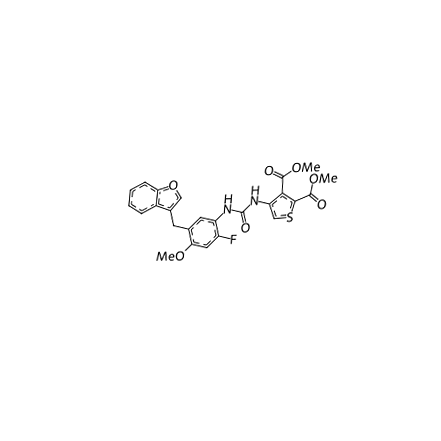 COC(=O)c1scc(NC(=O)Nc2cc(Cc3coc4ccccc34)c(OC)cc2F)c1C(=O)OC